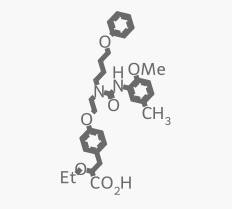 CCOC(Cc1ccc(OCCN(CCCCOc2ccccc2)C(=O)Nc2cc(C)ccc2OC)cc1)C(=O)O